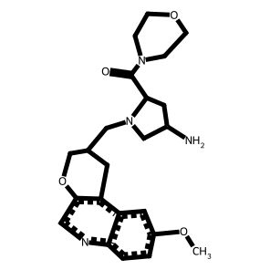 COc1ccc2ncc3c(c2c1)CC(CN1CC(N)CC1C(=O)N1CCOCC1)CO3